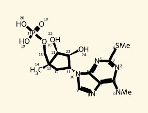 CNc1nc(SC)nc2c1ncn2[C@@H]1C[C@](C)(COP(=O)(O)O)[C@@H](O)[C@H]1O